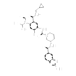 Cc1nc2cc(C(=O)N[C@@H]3CCCN(C(=O)Nc4cc(C(=O)NCC5CC5)c(N(C=O)C(C)C)cc4F)C3)ccc2o1